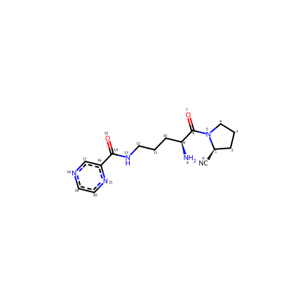 N#C[C@@H]1CCCN1C(=O)[C@@H](N)CCCNC(=O)c1cnccn1